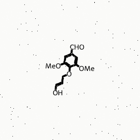 COc1cc(C=O)cc(OC)c1OCC=CO